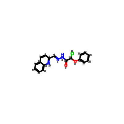 O=C(NN=Cc1ccc2ccccc2n1)C(Cl)Oc1ccccc1